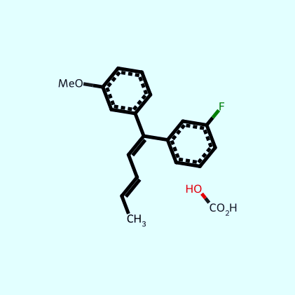 C/C=C/C=C(\c1cccc(F)c1)c1cccc(OC)c1.O=C(O)O